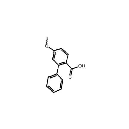 COc1ccc(C(=O)O)c(-c2ccccc2)c1